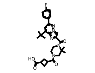 CC(C)(C)c1cc(-c2ccc(F)cc2)nn2cc(C(=O)N3CCN(C(=O)C4CC(C(=O)O)C4)CC3(C)C)nc12